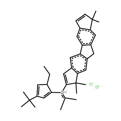 CCC1C=C(C(C)(C)C)C=[C]1[Zr+2]([C]1=Cc2cc3c(cc2C1(C)C)Cc1cc2c(cc1-3)C=CC2(C)C)=[C](C)C.[Cl-].[Cl-]